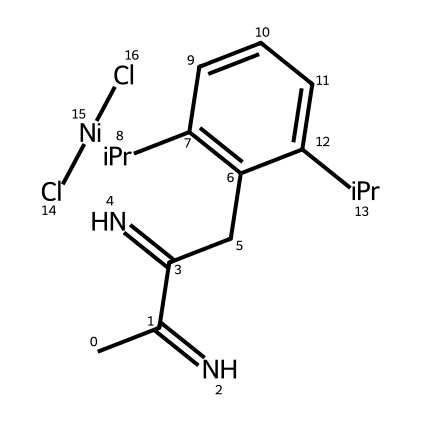 CC(=N)C(=N)Cc1c(C(C)C)cccc1C(C)C.[Cl][Ni][Cl]